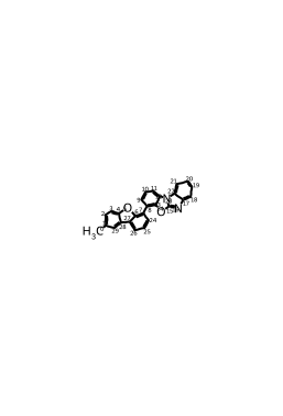 Cc1ccc2oc3c(-c4cccc5c4oc4nc6ccccc6n45)cccc3c2c1